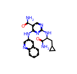 NC(=O)c1cnc(NC(CC2CC2)C(N)=O)nc1Nc1cnc2ccccc2c1